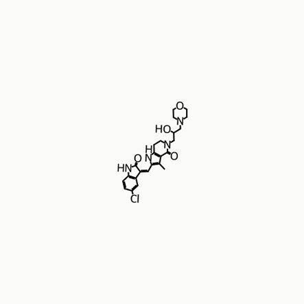 Cc1c(/C=C2\C(=O)Nc3ccc(Cl)cc32)[nH]c2c1C(=O)N(CC(O)CN1CCOCC1)CC2